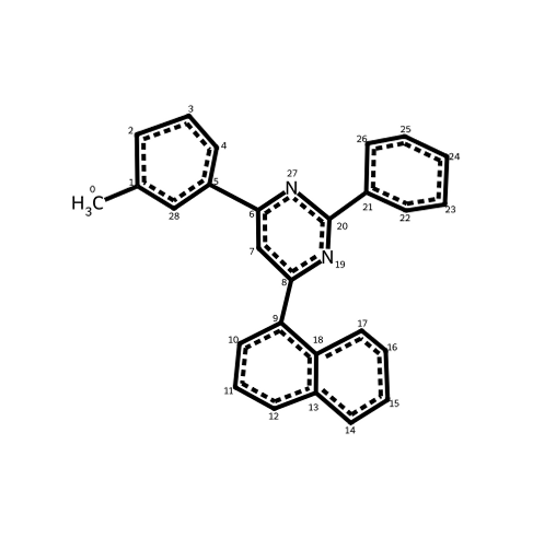 Cc1cccc(-c2cc(-c3cccc4ccccc34)nc(-c3ccccc3)n2)c1